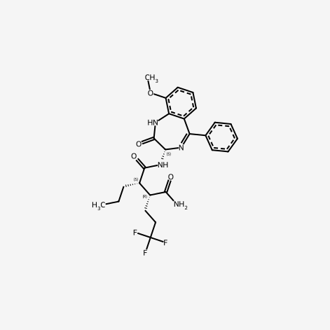 CCC[C@H](C(=O)N[C@H]1N=C(c2ccccc2)c2cccc(OC)c2NC1=O)[C@@H](CCC(F)(F)F)C(N)=O